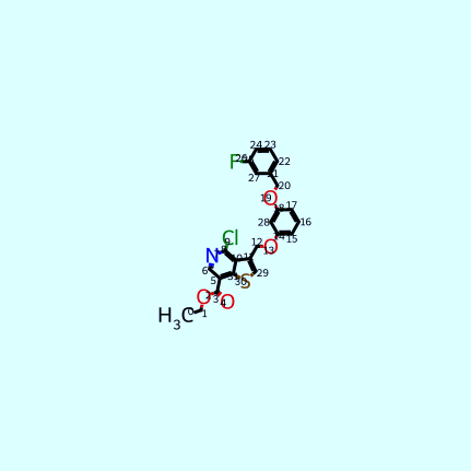 CCOC(=O)c1cnc(Cl)c2c(COc3cccc(OCc4cccc(F)c4)c3)csc12